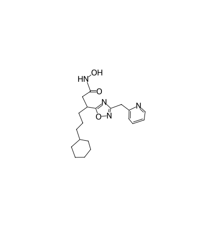 O=C(CC(CCCC1CCCCC1)c1nc(Cc2ccccn2)no1)NO